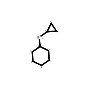 C1CCC(PC2CC2)CC1